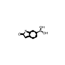 O=C1C=c2ccc(B(O)O)cc2=N1